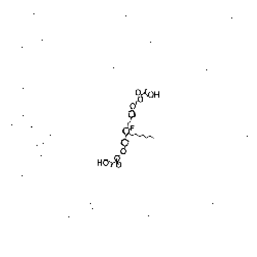 C=C(CO)C(=O)OCCOc1ccc(CCc2ccc(-c3ccc(OCCOC(=O)C(=C)CO)cc3)c(CCCCCCC)c2F)cc1